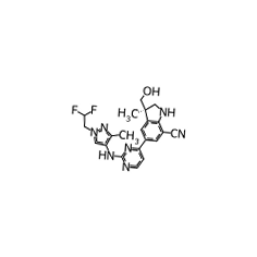 Cc1nn(CC(F)F)cc1Nc1nccc(-c2cc(C#N)c3c(c2)[C@@](C)(CO)CN3)n1